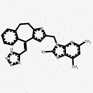 CCc1nc2c(C)cc(C)nc2n1Cc1cc2c(s1)CCc1ccccc1/C2=C\c1nnn[nH]1